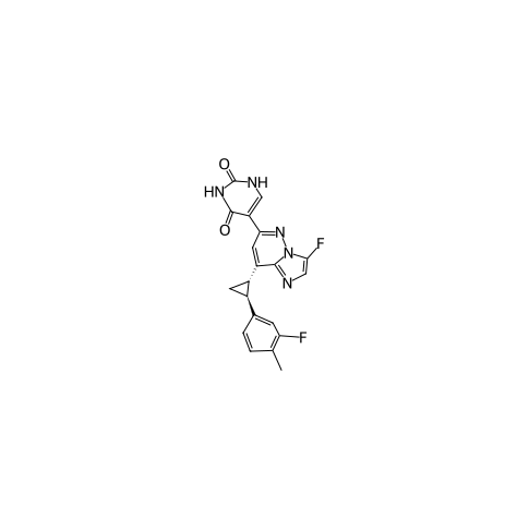 Cc1ccc([C@H]2C[C@@H]2c2cc(-c3c[nH]c(=O)[nH]c3=O)nn3c(F)cnc23)cc1F